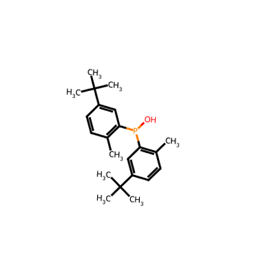 Cc1ccc(C(C)(C)C)cc1P(O)c1cc(C(C)(C)C)ccc1C